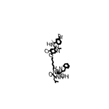 COc1cc2c(N[C@H](C)c3cccc(Br)c3)nc(C)nc2cc1OCCCCCCNC(=O)[C@H](CC(C)C)NC(=O)[C@@H](O)[C@H](N)Cc1ccccc1